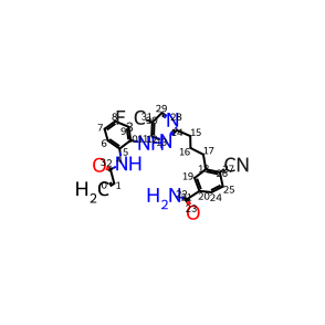 C=CC(=O)Nc1ccccc1Nc1nc(CCCc2cc(C(N)=O)ccc2C#N)ncc1C(F)(F)F